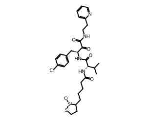 CC(C)[C@H](NC(=O)CCCCC1CCS[S+]1[O-])C(=O)N[C@@H](Cc1ccc(Cl)cc1)C(=O)C(=O)NCCc1ccccn1